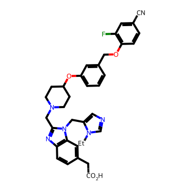 CCn1cncc1Cn1c(CN2CCC(Oc3cccc(COc4ccc(C#N)cc4F)c3)CC2)nc2ccc(CC(=O)O)cc21